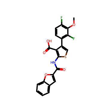 COc1c(F)ccc(-c2csc(NC(=O)c3cc4ccccc4o3)c2C(=O)O)c1F